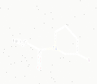 O=C(O)C(=O)N1CCCC(I)C1